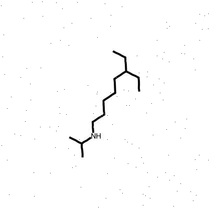 CCC(CC)CCCCCNC(C)C